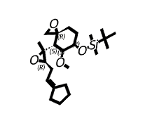 CO[C@H]1[C@H](C2(C)O[C@@H]2CC=C2CCCC2)[C@]2(CC[C@H]1O[Si](C)(C)C(C)(C)C)CO2